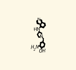 Nc1cc(CN2CCC(Nc3cccc4cnccc34)C2)ccc1O